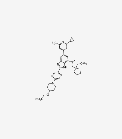 CCOC(=O)COC1CCN(c2cnc(-c3nc4nc(-c5cc(C6CC6)nc(C(F)(F)F)c5)cc(N(C)CC5(COC)CCCC5)c4[nH]3)cn2)CC1